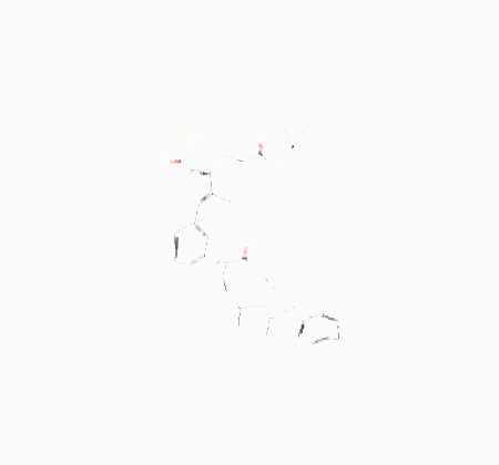 COC(=O)c1sc(-c2cccc(N(CC3CCCC(Cc4ccccc4)C3)C(N)=O)c2)c(Br)c1OCC(=O)OC(C)(C)C